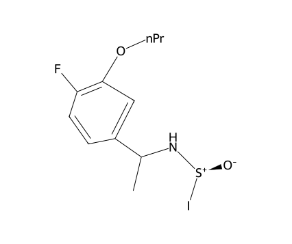 CCCOc1cc(C(C)N[S@@+]([O-])I)ccc1F